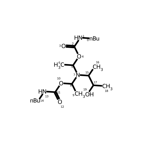 CCCCNC(=O)OC(C)N(C(C)OC(=O)NCCCC)C(C)C(C)O